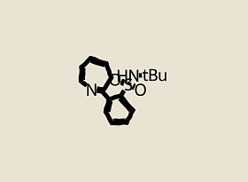 CC(C)(C)NS(=O)(=O)c1ccccc1C1=NC=CC=CC1